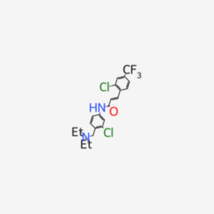 CCN(CC)Cc1ccc(NC(=O)C=Cc2ccc(C(F)(F)F)cc2Cl)cc1Cl